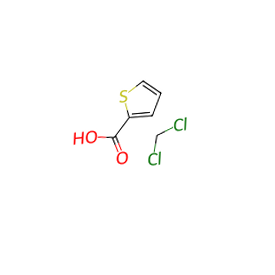 ClCCl.O=C(O)c1cccs1